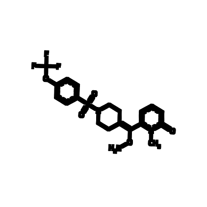 Cn1c(C(ON)=C2CCN(S(=O)(=O)c3ccc(OC(F)(F)F)cc3)CC2)cccc1=O